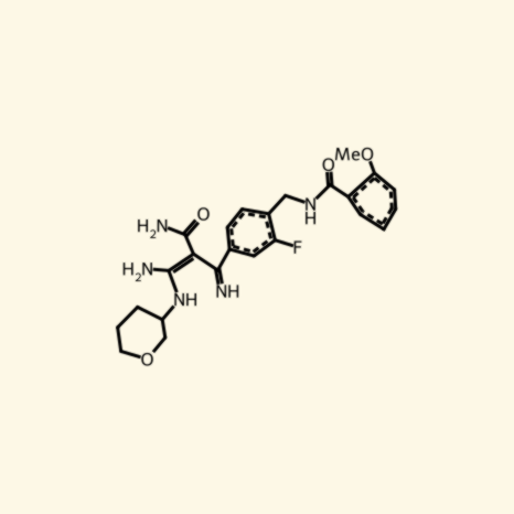 COc1ccccc1C(=O)NCc1ccc(C(=N)/C(C(N)=O)=C(/N)NC2CCCOC2)cc1F